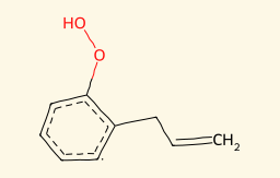 C=CCc1[c]cccc1OO